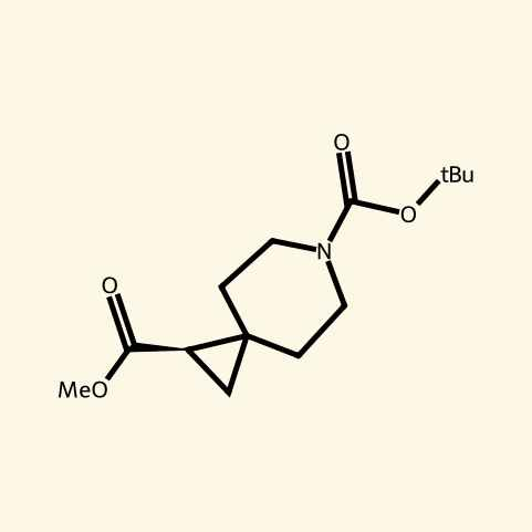 COC(=O)[C@@H]1CC12CCN(C(=O)OC(C)(C)C)CC2